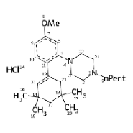 CCCCCN1CCN(c2cc(OC)ccc2C2=CC(C)(C)CC(C)(C)C2)CC1.Cl